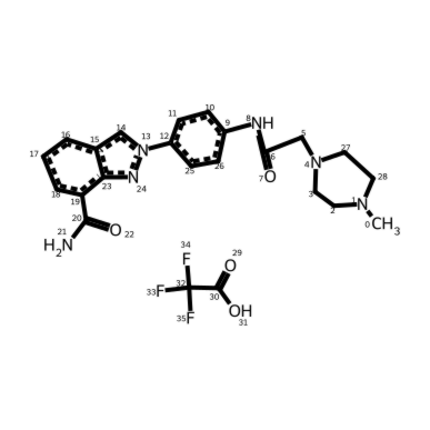 CN1CCN(CC(=O)Nc2ccc(-n3cc4cccc(C(N)=O)c4n3)cc2)CC1.O=C(O)C(F)(F)F